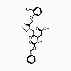 O=C(O)CC(NC(=O)OCc1ccccc1)C(=O)Cn1nnnc1COc1ccccc1Cl